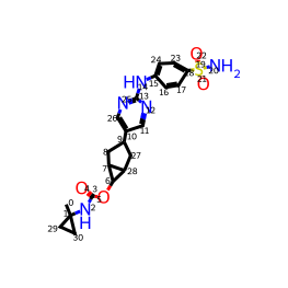 CC1(NC(=O)OC2C3CC(c4cnc(Nc5ccc(S(N)(=O)=O)cc5)nc4)CC32)CC1